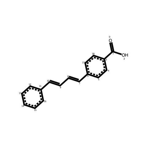 O=C(O)c1ccc(C=CC=Cc2ccccc2)cc1